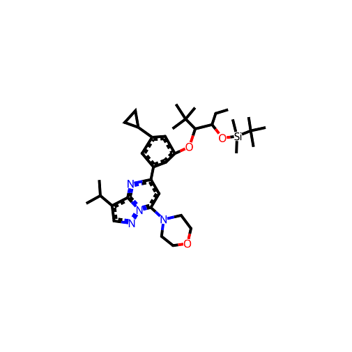 CCC(O[Si](C)(C)C(C)(C)C)C(Oc1cc(-c2cc(N3CCOCC3)n3ncc(C(C)C)c3n2)cc(C2CC2)c1)C(C)(C)C